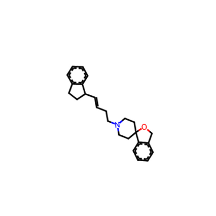 C(=CC1CCc2ccccc21)CCN1CCC2(CC1)OCc1ccccc12